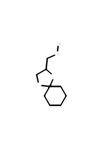 CCCNCC1COC2(CCCCC2)O1